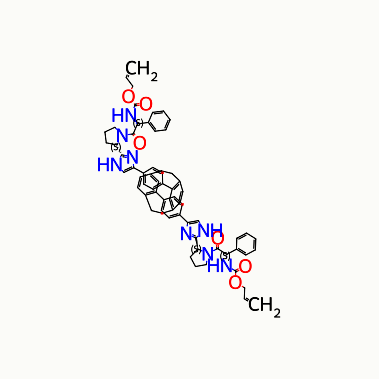 C=CCOC(=O)N[C@H](C(=O)N1CCC[C@H]1c1nc(-c2ccc(-c3cc4ccc3CCc3ccc(c(-c5ccc(-c6c[nH]c([C@@H]7CCCN7C(=O)[C@@H](NC(=O)OCC=C)c7ccccc7)n6)cc5)c3)CC4)cc2)c[nH]1)c1ccccc1